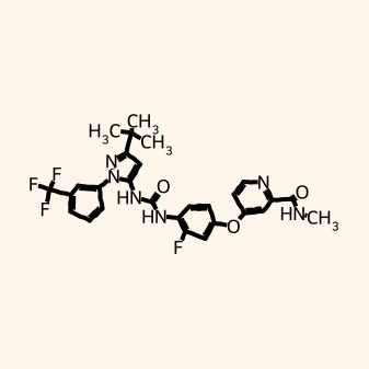 CNC(=O)c1cc(Oc2ccc(NC(=O)Nc3cc(C(C)(C)C)nn3-c3cccc(C(F)(F)F)c3)c(F)c2)ccn1